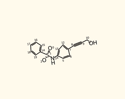 O=S(=O)(Nc1ccc(C#CCO)cc1)c1ccccc1